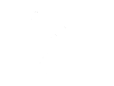 CCCCOC(=O)n1ccc2c(C(=O)N3CCN(Cc4ccccc4)CC3c3ccc(C(=O)OC)cc3)cccc21